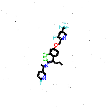 CCC/C(=C(Cl)\N=C(/C)c1ccc(F)nc1)c1ccc(OCc2ncc(C(F)(F)F)cc2F)cc1Cl